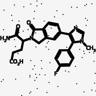 Cn1cnc(-c2ccc3c(c2)CN(C(CCC(=O)O)C(N)=O)C3=O)c1-c1ccc(F)cc1